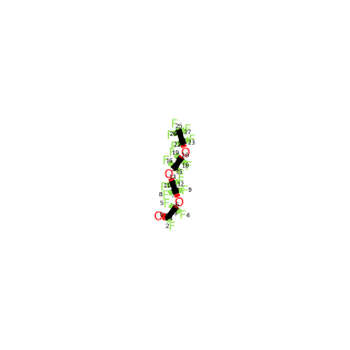 O=C(F)C(F)(F)OC(F)(F)C(F)(F)OC(F)(F)C(F)(F)OC(F)(F)C(F)(F)F